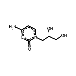 Nc1ccn(C[C@H](O)CO)c(=O)n1